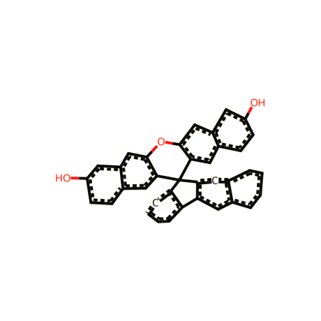 Oc1ccc2cc3c(cc2c1)Oc1cc2cc(O)ccc2cc1C31c2ccccc2-c2cc3ccccc3cc21